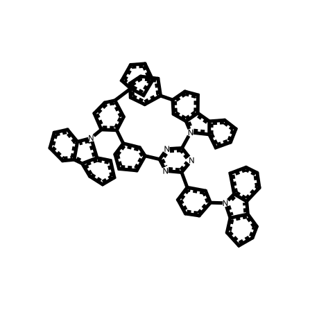 c1ccc(-c2ccc(-n3c4ccccc4c4ccccc43)c(-c3cccc(-c4nc(-c5cccc(-n6c7ccccc7c7ccccc76)c5)nc(-n5c6ccccc6c6ccc(-c7ccccc7)cc65)n4)c3)c2)cc1